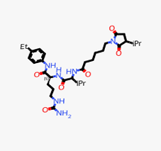 CCc1ccc(NC(=O)[C@H](CCCNC(N)=O)NC(=O)C(NC(=O)CCCCCN2C(=O)CC(C(C)C)C2=O)C(C)C)cc1